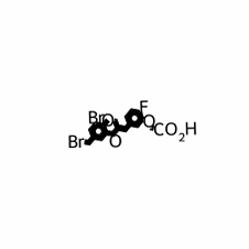 O=C(O)COc1cc(/C=C2\COc3c(Br)cc(CBr)cc3C2=O)ccc1F